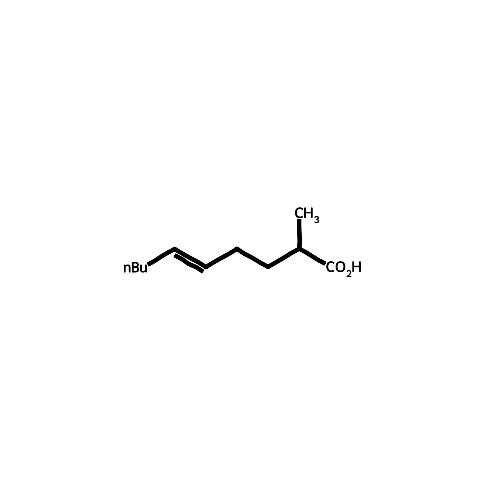 CCCCC=CCCC(C)C(=O)O